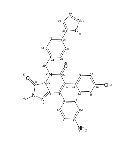 Cn1nc2c(-c3ccc(N)cc3)c(-c3ccc(Cl)cc3)c(=O)n(Cc3ccc(-c4ccno4)cc3)n2c1=O